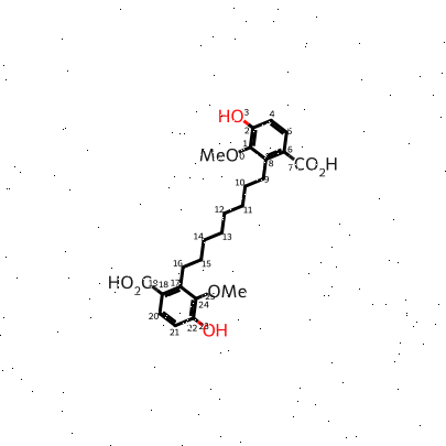 COc1c(O)ccc(C(=O)O)c1CCCCCCCCc1c(C(=O)O)ccc(O)c1OC